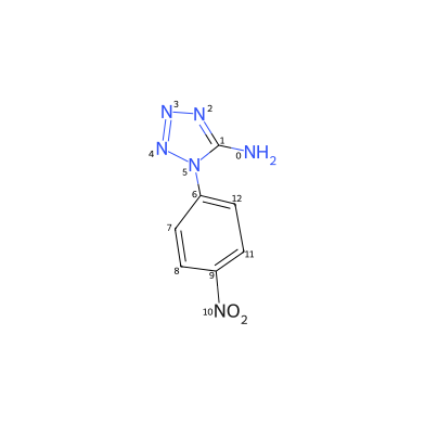 Nc1nnnn1-c1ccc([N+](=O)[O-])cc1